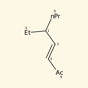 CCCC(C=CC(C)=O)CC